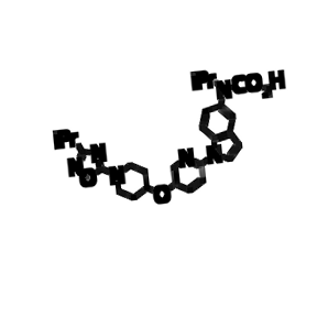 CC(C)c1noc(N2CCC(Oc3ccc(-n4ccc5cc(N(C(=O)O)C(C)C)ccc54)nc3)CC2)n1